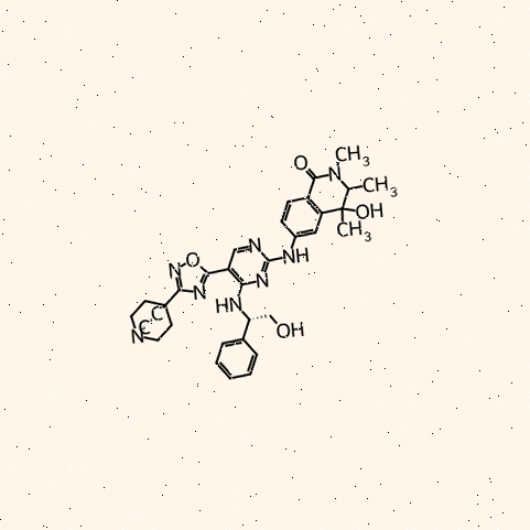 CC1N(C)C(=O)c2ccc(Nc3ncc(-c4nc(C56CCN(CC5)CC6)no4)c(N[C@H](CO)c4ccccc4)n3)cc2C1(C)O